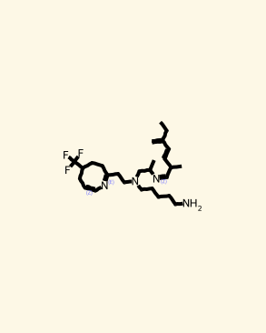 C=C(C=CC(C)/C=N\C(C)CN(CCCCCN)CC/C1=N/C=C\CC(C(F)(F)F)CC1)CC